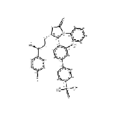 O=C1C[C@@H](CC[C@H](O)c2ccc(F)cc2)[C@@H](c2ccc(-c3ccc(P(=O)(O)O)cc3)cc2O)N1c1ccccc1